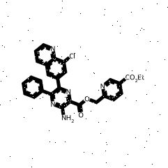 CCOC(=O)c1ccc(COC(=O)c2nc(-c3cc(Cl)c4ncccc4c3)c(-c3ccccc3)nc2N)nc1